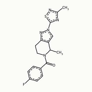 Cc1nsc(-n2cc3c(n2)CCN(C(=O)c2ccc(F)cc2)C3C)n1